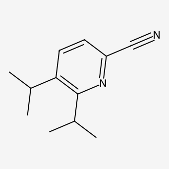 CC(C)c1ccc(C#N)nc1C(C)C